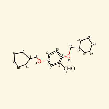 O=Cc1cc(OCC2CCCCC2)ccc1OCC1CCCCC1